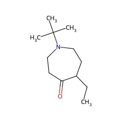 CCC1CCN(C(C)(C)C)CCC1=O